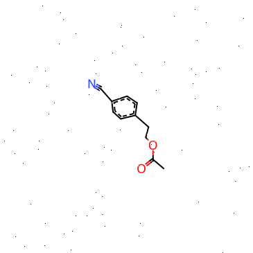 CC(=O)OCCc1ccc(C#N)cc1